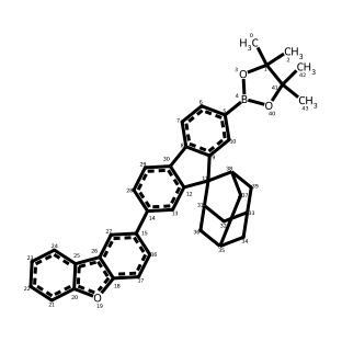 CC1(C)OB(c2ccc3c(c2)C2(c4cc(-c5ccc6oc7ccccc7c6c5)ccc4-3)C3CC4CC(C3)CC2C4)OC1(C)C